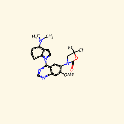 CCC1(CC)CN(c2cc3c(-n4ccc5c(N(C)C)cccc54)ncnc3cc2OC)C(=O)O1